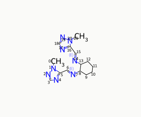 Cn1ncnc1/C=N/C1CCCCC1/N=C/c1ncnn1C